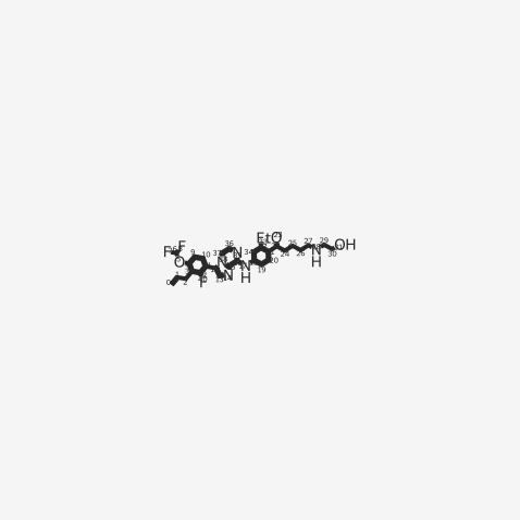 C=CCc1c(OC(F)F)ccc(-c2cnc3c(Nc4ccc(C(=O)CCCCNCCO)c(CC)c4)nccn23)c1F